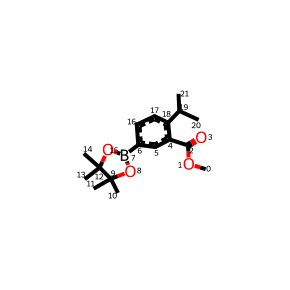 COC(=O)c1cc(B2OC(C)(C)C(C)(C)O2)ccc1C(C)C